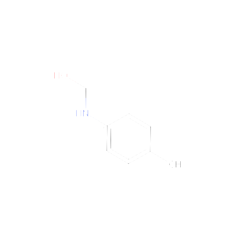 CC1=C=C=C(NCO)C=C1